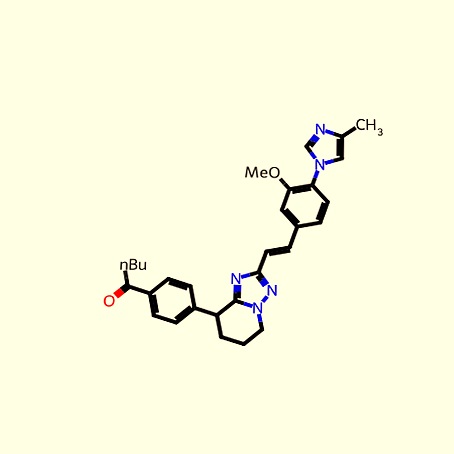 CCCCC(=O)c1ccc(C2CCCn3nc(C=Cc4ccc(-n5cnc(C)c5)c(OC)c4)nc32)cc1